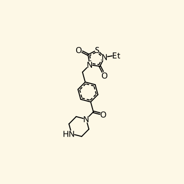 CCn1sc(=O)n(Cc2ccc(C(=O)N3CCNCC3)cc2)c1=O